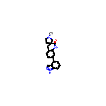 N#CN1CCC2(Cc3ccc(-c4cccc5[nH]ncc45)cc3NC2=O)C1